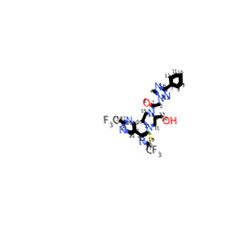 O=C(Cn1cnc(-c2ccccc2)n1)N1CCN(c2sc(C(F)(F)F)nc2-c2cnc(C(F)(F)F)nc2)CC1CO